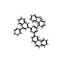 C1=CC(c2cc(-c3nc(-c4ccc5ccc6ccccc6c5c4)nc(-c4cccc5oc6ccccc6c45)n3)cc3ccccc23)=CCC1